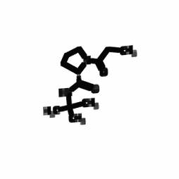 CCC(=O)N1CCC[C@H]1C(=O)NC(C)(C)C